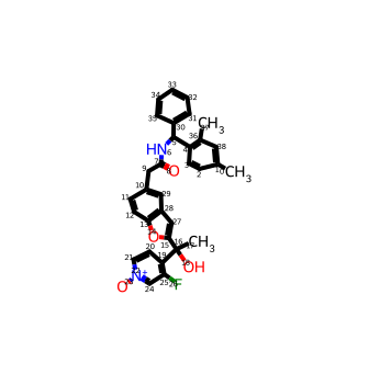 Cc1ccc(C(NC(=O)Cc2ccc3oc(C(C)(O)c4cc[n+]([O-])cc4F)cc3c2)c2ccccc2)c(C)c1